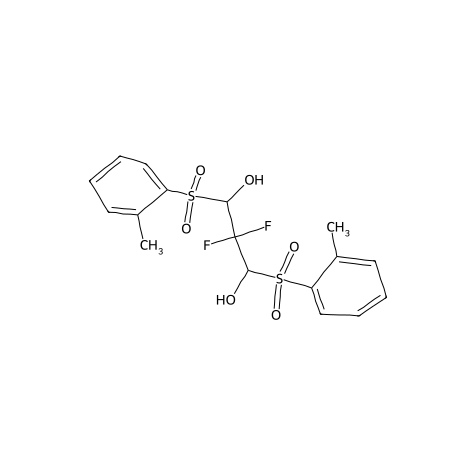 Cc1ccccc1S(=O)(=O)C(O)C(F)(F)C(O)S(=O)(=O)c1ccccc1C